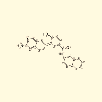 Cc1ccc(C(=O)Nc2ccc3ccccc3c2)cc1-c1ccc2nc(N)ncc2c1